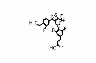 CCc1ccc(-c2nsc(C(F)(F)F)c2COc2c(F)cc(CCC(=O)O)cc2F)cc1F